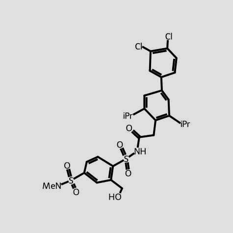 CNS(=O)(=O)c1ccc(S(=O)(=O)NC(=O)Cc2c(C(C)C)cc(-c3ccc(Cl)c(Cl)c3)cc2C(C)C)c(CO)c1